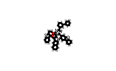 c1ccc(-c2cccc(-c3nc(-c4ccc5sc6ccccc6c5c4)nc(-c4cc5oc6ccccc6c5cc4-n4c5ccccc5c5cc6ccccc6cc54)n3)c2)cc1